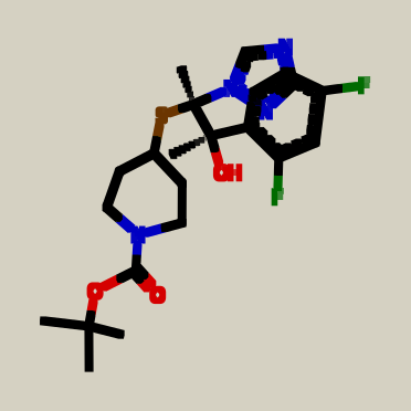 CC(C)(C)OC(=O)N1CCC(S[C@@](C)(n2cncn2)[C@](C)(O)c2ccc(F)cc2F)CC1